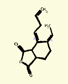 C=CC/C=C1\C(=C/C)CCC2C(=O)OC(=O)C12